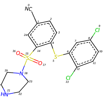 N#Cc1ccc(Sc2cc(Cl)ccc2Cl)c(S(=O)(=O)N2CCNCC2)c1